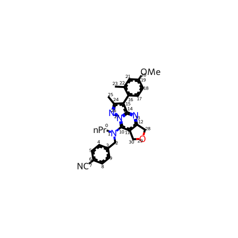 CCCN(Cc1ccc(C#N)cc1)c1c2c(nc3c(-c4ccc(OC)cc4C)c(C)nn13)COC2